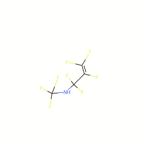 FC(F)=C(F)C(F)(F)NC(F)(F)F